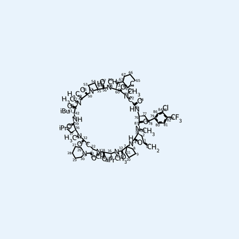 C=CC[C@H]1C(=O)NC2(CCCC2)C(=O)N(C)[C@@H](C(C)C)C(=O)N(C)[C@H](C(=O)N2CCCCC2)CC(=O)N(C)[C@@H](CC(C)C)C(=O)N[C@@H]([C@@H](C)CC)C(=O)N(C)[C@@H](C)C(=O)N2CC[C@H]2C(=O)N(C)[C@@H](CC2CCCCC2)C(=O)N(C)CC(=O)N[C@@H](CCc2ccc(C(F)(F)F)c(Cl)c2)C(=O)N1C